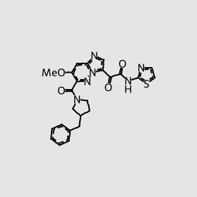 COc1cc2ncc(C(=O)C(=O)Nc3nccs3)n2nc1C(=O)N1CCC(Cc2ccccc2)C1